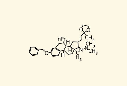 CCC[C@@H]1Cc2cc(OCc3ccccc3)ccc2[C@H]2CC[C@]3(C)/C(=N/N(C)C)[C@H](CCC4(C)OCCO4)C[C@H]3[C@H]12